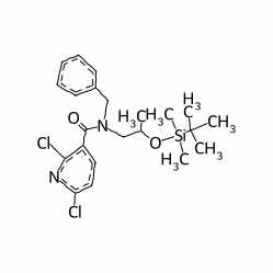 CC(CN(Cc1ccccc1)C(=O)c1ccc(Cl)nc1Cl)O[Si](C)(C)C(C)(C)C